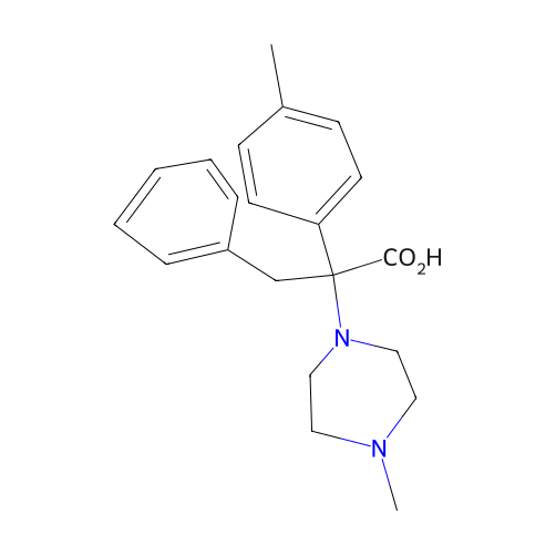 Cc1ccc(C(Cc2ccccc2)(C(=O)O)N2CCN(C)CC2)cc1